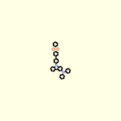 O=S(=O)(c1ccccc1)c1ccc(-c2ccc(-n3c4ccccc4c4cc(N(c5ccccc5)c5ccccc5)ccc43)cc2)cc1